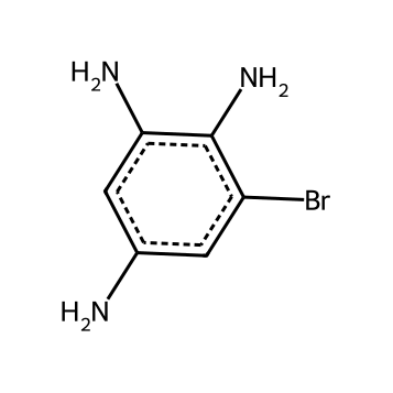 Nc1cc(N)c(N)c(Br)c1